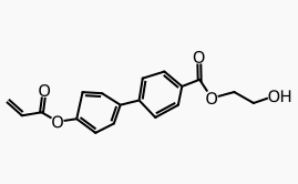 C=CC(=O)Oc1ccc(-c2ccc(C(=O)OCCO)cc2)cc1